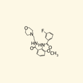 COc1cccc(C(=O)NCCN2CCOCC2)c1NC(=O)c1cccc(F)c1